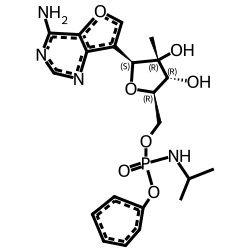 CC(C)NP(=O)(OC[C@H]1O[C@@H](c2coc3c(N)ncnc23)[C@](C)(O)[C@@H]1O)Oc1ccccc1